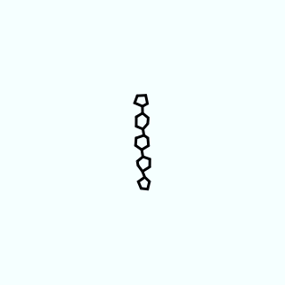 C1CCC(C2CCC(C3CCC(C4CCC(C5CCCC5)CC4)CC3)CC2)C1